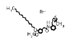 CCCCCCCCCCCCCCOc1cc(CC(=O)Nc2ccccc2C[n+]2cscc2C)ccc1OC.[Br-]